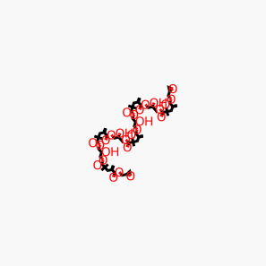 C=C(CC(C)(C)C(=O)OCC(O)COC(=O)C(=C)CC(C)(C)C(=O)OCC(O)COC(=O)C(=C)CC(C)(C)C(=O)OCC(O)COC(=O)C(C)(C)CC(=C)C(=O)OCC1CO1)C(=O)OCC(O)COC(=O)C(C)(C)CC(=C)C(=O)OCC1CO1